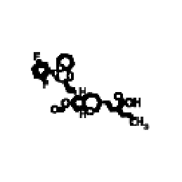 CCCC(CC[C@@H]1CC[C@@H]2[C@@H](C=C[C@H](COc3cc(F)ccc3F)OC3CCCCO3)[C@@H](OC=O)C[C@@H]2OC1)C(=O)O